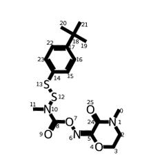 CN1CCOC(=NOC(=O)N(C)SSc2ccc(C(C)(C)C)cc2)C1=O